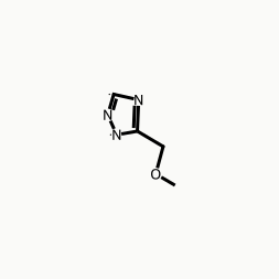 COCC1=N[C]=N[N]1